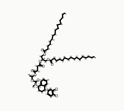 CCCCCCCCCCCCCCCC(=O)OCC(COC(=O)CCCCCCCCCCCCCCC)OC(=O)CCC(=O)OC(C)OC(=O)N(C)[C@H]1CC[C@@H](c2ccc(Cl)c(Cl)c2)c2ccccc21